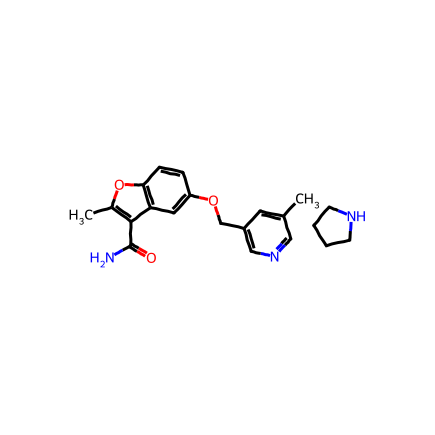 C1CCNC1.Cc1cncc(COc2ccc3oc(C)c(C(N)=O)c3c2)c1